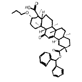 CCCO[C@H]1CC[C@@]2(C)[C@@H](CC[C@]3(C)[C@@H]2C(=O)C=C2[C@@H]4C[C@@](C)(C(=O)OC(c5ccccc5)c5ccccc5)CC[C@]4(C)CC[C@]23C)[C@]1(C)C(=O)O